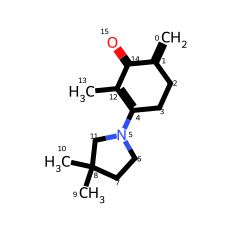 C=C1CCC(N2CCC(C)(C)C2)=C(C)C1=O